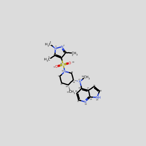 Cc1nn(C)c(C)c1S(=O)(=O)N1CC[C@@H](C)[C@@H](N(C)c2ccnc3[nH]ccc23)C1